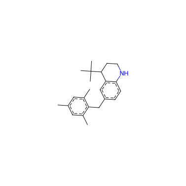 Cc1cc(C)c(Cc2ccc3c(c2)C(C(C)(C)C)CCN3)c(C)c1